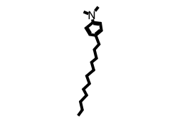 CCCCCCCCCCCCc1ccc(N(C)C)cc1